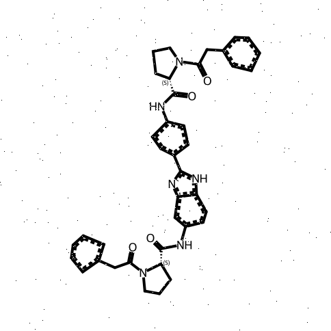 O=C(Nc1ccc(-c2nc3cc(NC(=O)[C@@H]4CCCN4C(=O)Cc4ccccc4)ccc3[nH]2)cc1)[C@@H]1CCCN1C(=O)Cc1ccccc1